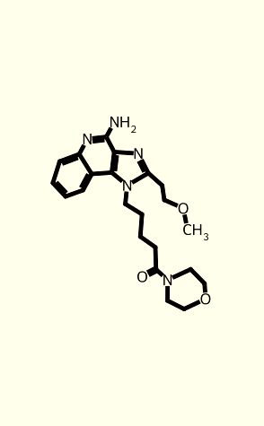 COCCc1nc2c(N)nc3ccccc3c2n1CCCCC(=O)N1CCOCC1